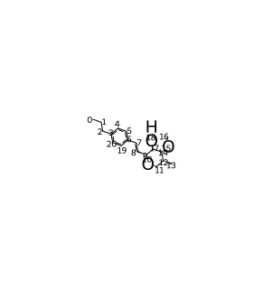 CCCc1ccc(/C=C/[C@@H]2OC[C@H](C)[C@H](OC)[C@H]2O)cc1